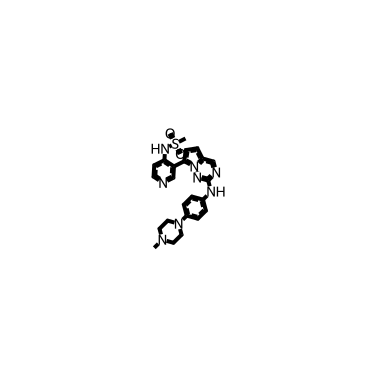 CN1CCN(c2ccc(Nc3ncc4ccc(-c5cnccc5NS(C)(=O)=O)n4n3)cc2)CC1